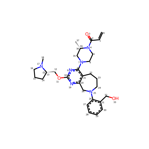 C=CC(=O)N1CCN(c2nc(OC[C@@H]3CCCN3C)nc3c2CCCN(c2ccccc2CO)C3)C[C@@H]1C